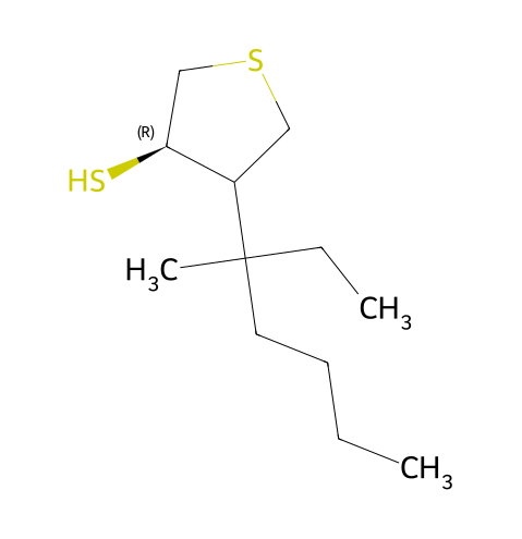 CCCCC(C)(CC)C1CSC[C@@H]1S